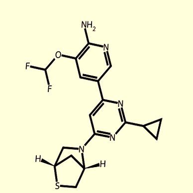 Nc1ncc(-c2cc(N3C[C@@H]4C[C@H]3CS4)nc(C3CC3)n2)cc1OC(F)F